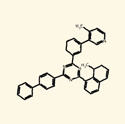 Cc1ccncc1C1=CCCC(c2nc(-c3ccc(-c4ccccc4)cc3)nc(-c3cccc4c3C(C)CC=C4)n2)=C1